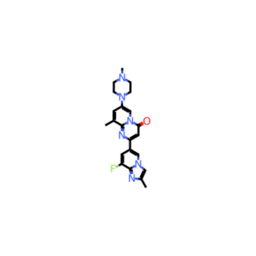 Cc1cn2cc(-c3cc(=O)n4cc(N5CCN(C)CC5)cc(C)c4n3)cc(F)c2n1